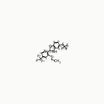 CCSc1cc(C(F)(F)F)cnc1C1Nc2cc(SC(F)(F)F)ccc2O1